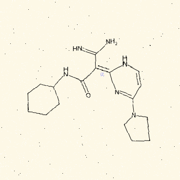 N=C(N)/C(C(=O)NC1CCCCC1)=C1/N=C(N2CCCC2)C=CN1